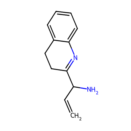 C=CC(N)C1=Nc2ccccc2CC1